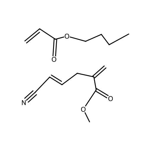 C=C(CC=CC#N)C(=O)OC.C=CC(=O)OCCCC